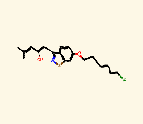 CC(C)=C[C@@H](O)Cc1nsc2cc(OCCCCCCBr)ccc12